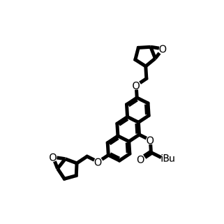 CCC(C)C(=O)Oc1c2ccc(OCC3CCC4OC34)cc2cc2cc(OCC3CCC4OC34)ccc12